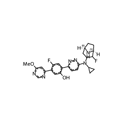 COc1cc(-c2cc(O)c(-c3ccc(N(C4CC4)C4C[C@H]5CC[C@H](N5)C4F)nn3)cc2F)ncn1